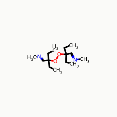 CCC(C=NC)(CC)OOC(C=NC)(CC)CC